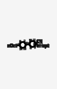 CCCCCCCCC1CCC(C2CCC(C#N)(CCCCCCC)CC2)CC1